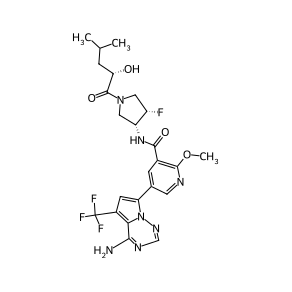 COc1ncc(-c2cc(C(F)(F)F)c3c(N)ncnn23)cc1C(=O)N[C@@H]1CN(C(=O)[C@@H](O)CC(C)C)C[C@@H]1F